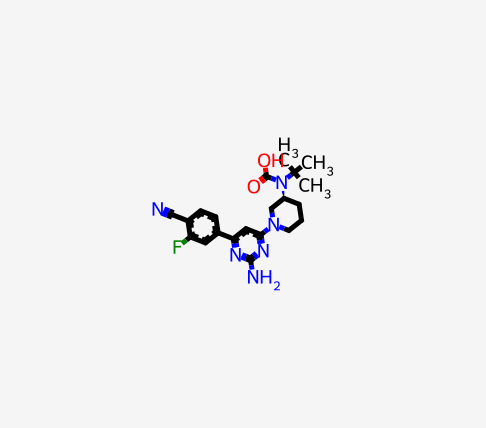 CC(C)(C)N(C(=O)O)[C@@H]1CCCN(c2cc(-c3ccc(C#N)c(F)c3)nc(N)n2)C1